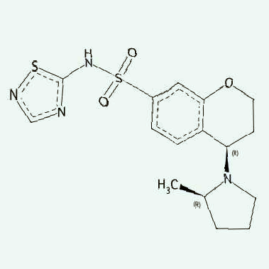 C[C@@H]1CCCN1[C@@H]1CCOc2cc(S(=O)(=O)Nc3ncns3)ccc21